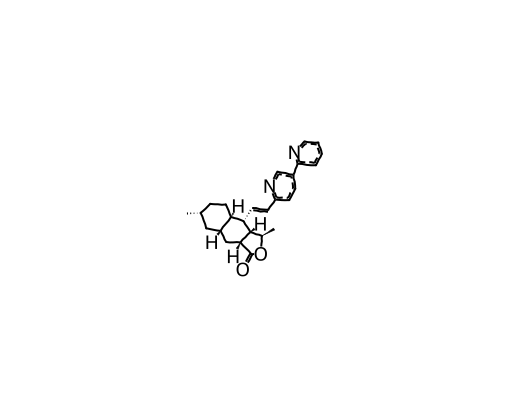 C[C@@H]1CC[C@@H]2[C@@H](C1)C[C@H]1C(=O)O[C@H](C)[C@H]1[C@H]2/C=C/c1ccc(-c2ccccn2)cn1